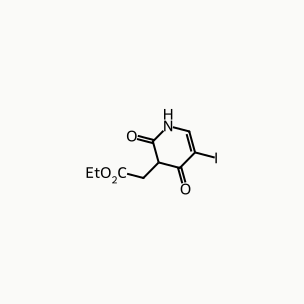 CCOC(=O)CC1C(=O)NC=C(I)C1=O